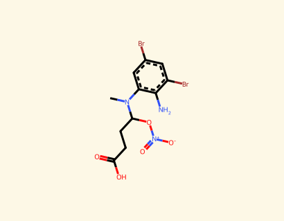 CN(c1cc(Br)cc(Br)c1N)C(CCC(=O)O)O[N+](=O)[O-]